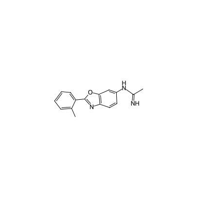 CC(=N)Nc1ccc2nc(-c3ccccc3C)oc2c1